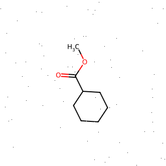 COC(=O)C1C[CH]CCC1